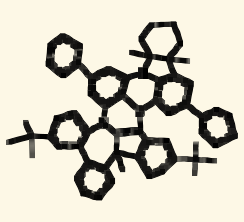 CC(C)(C)c1ccc2c(c1)C1=C3N(c4ccc(C(C)(C)C)cc4-c4ccccc4C32C)c2cc(-c3ccccc3)cc3c2B1c1cc(-c2ccccc2)cc2c1N3C1(C)CCCCC21C